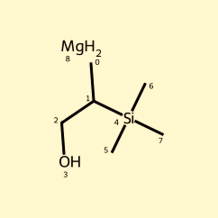 CC(CO)[Si](C)(C)C.[MgH2]